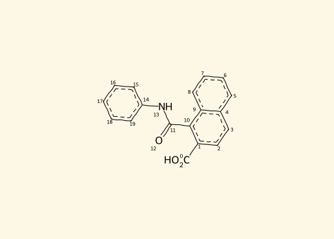 O=C(O)c1ccc2ccccc2c1C(=O)Nc1ccccc1